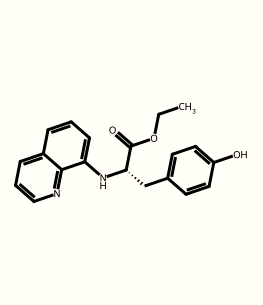 CCOC(=O)[C@H](Cc1ccc(O)cc1)Nc1cccc2cccnc12